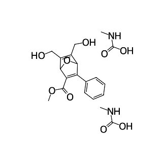 CNC(=O)O.CNC(=O)O.COC(=O)C1=C(c2ccccc2)C2OC1C(CO)=C2CO